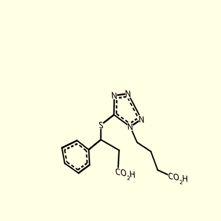 O=C(O)CCCn1nnnc1SC(CC(=O)O)c1ccccc1